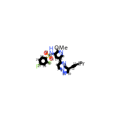 COc1ncc(-c2ccn3ncc(C#CC(C)C)c3n2)cc1NS(=O)(=O)c1ccc(F)cc1F